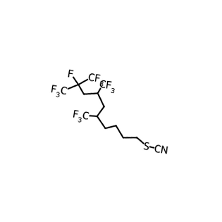 N#CSCCCCC(CC(CC(F)(C(F)(F)F)C(F)(F)F)C(F)(F)F)C(F)(F)F